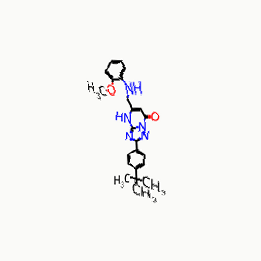 COc1ccccc1NCc1cc(=O)n2nc(-c3ccc(C(C)(C)C)cc3)nc2[nH]1